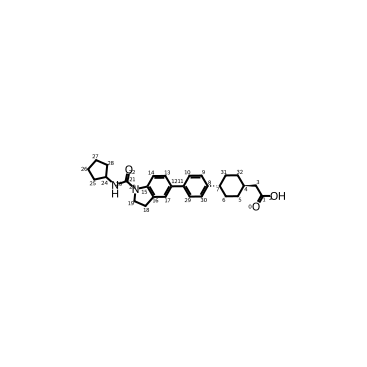 O=C(O)C[C@H]1CC[C@H](c2ccc(-c3ccc4c(c3)CCN4C(=O)NC3CCCC3)cc2)CC1